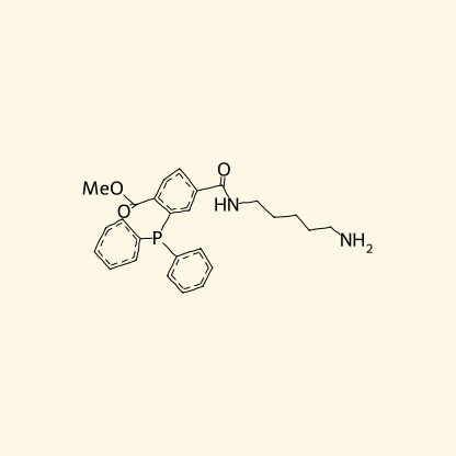 COC(=O)c1ccc(C(=O)NCCCCCN)cc1P(c1ccccc1)c1ccccc1